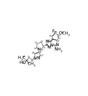 COc1cc2nc(N)n3nc(C4CCCN(c5cnn(CCC(C)(C)O)c5)C4)nc3c2cc1F